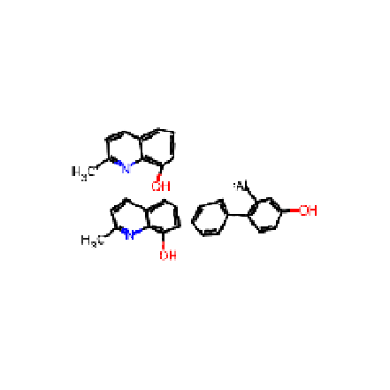 Cc1ccc2cccc(O)c2n1.Cc1ccc2cccc(O)c2n1.Oc1ccc(-c2ccccc2)[c]([Al])c1